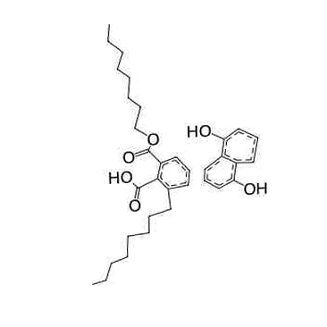 CCCCCCCCOC(=O)c1cccc(CCCCCCCC)c1C(=O)O.Oc1cccc2c(O)cccc12